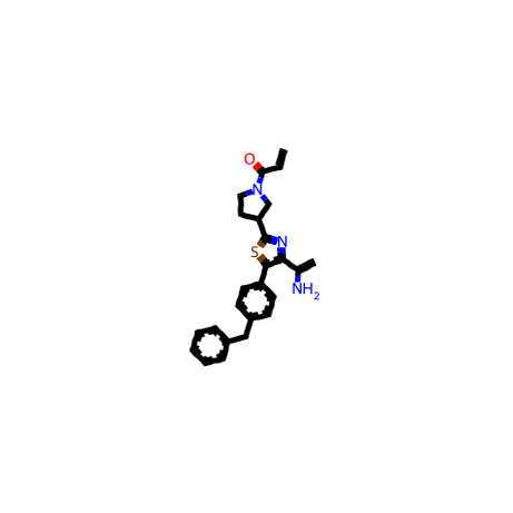 C=CC(=O)N1CCC(c2nc(C(=C)N)c(-c3ccc(Cc4ccccc4)cc3)s2)C1